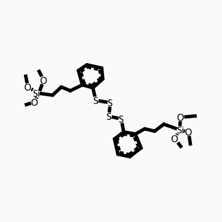 CO[Si](CCCc1ccccc1SSSSc1ccccc1CCC[Si](OC)(OC)OC)(OC)OC